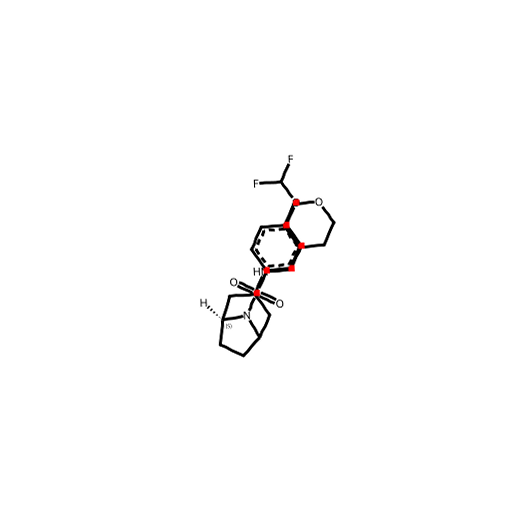 O=S(=O)(c1ccc(OC(F)F)cc1)N1C2CC[C@H]1CC(NCC1CCOCC1)C2